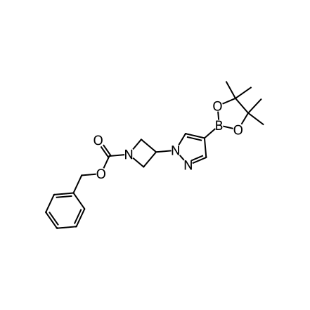 CC1(C)OB(c2cnn(C3CN(C(=O)OCc4ccccc4)C3)c2)OC1(C)C